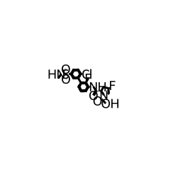 CNS(=O)(=O)c1ccc(Cl)c(-c2cccc(NC(=O)[C@@H]3C[C@@H](F)CN3C(=O)O)c2F)c1